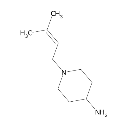 CC(C)=CCN1CCC(N)CC1